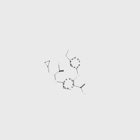 CCc1cc(Nc2nc(N[C@H](CC3CC3)C(N)=O)cnc2C(N)=O)sn1